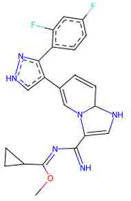 CO/C(=N\C(=N)C1=CNC2C=CC(c3c[nH]nc3-c3ccc(F)cc3F)=CN12)C1CC1